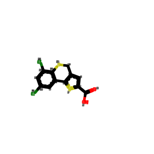 O=C(O)c1cc2c(s1)-c1cc(Cl)cc(Cl)c1SC2